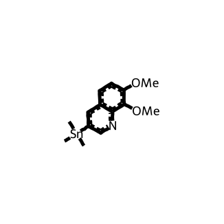 COc1ccc2c[c]([Sn]([CH3])([CH3])[CH3])cnc2c1OC